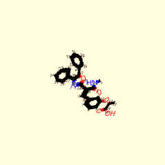 CNC(=O)C(=Cc1cccc(OC(C)C(=O)O)c1)c1nc(-c2ccccc2)c(-c2ccccc2)o1